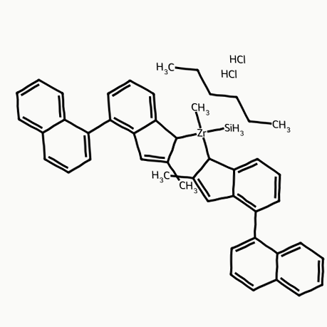 CC1=Cc2c(-c3cccc4ccccc34)cccc2[CH]1[Zr]([CH3])([SiH3])[CH]1C(C)=Cc2c(-c3cccc4ccccc34)cccc21.CCCCCC.Cl.Cl